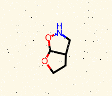 C1CC2CNOC2O1